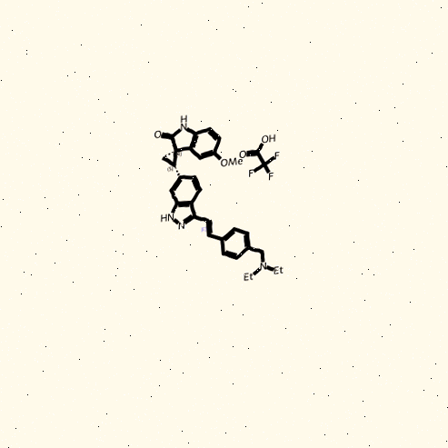 CCN(CC)Cc1ccc(/C=C/c2n[nH]c3cc([C@@H]4C[C@@]45C(=O)Nc4ccc(OC)cc45)ccc23)cc1.O=C(O)C(F)(F)F